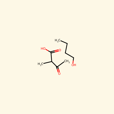 CC(=O)C(C)C(=O)O.CCCCO